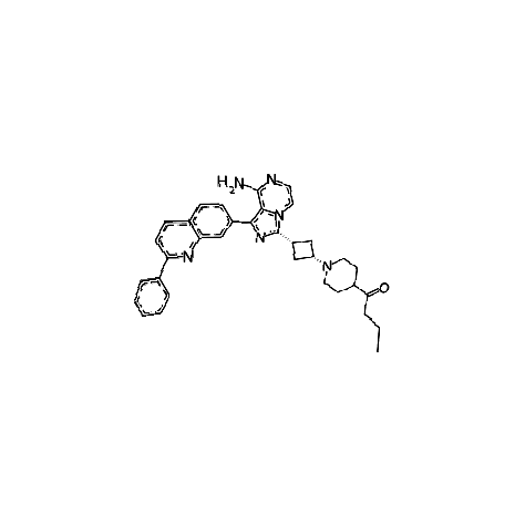 CCCC(=O)C1CCN([C@H]2C[C@@H](c3nc(-c4ccc5ccc(-c6ccccc6)nc5c4)c4c(N)nccn43)C2)CC1